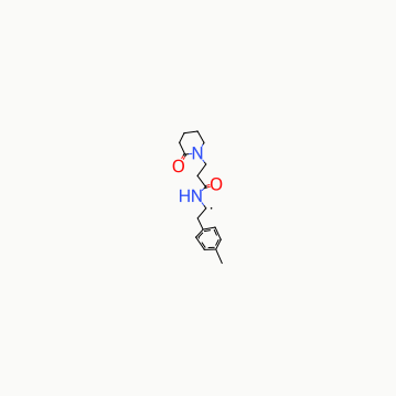 Cc1ccc(C[CH]NC(=O)CCN2CCCCC2=O)cc1